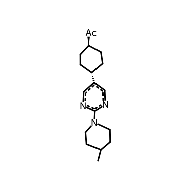 CC(=O)[C@H]1CC[C@H](c2cnc(N3CCC(C)CC3)nc2)CC1